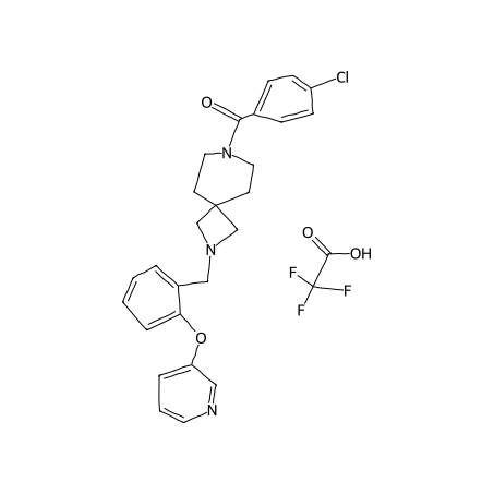 O=C(O)C(F)(F)F.O=C(c1ccc(Cl)cc1)N1CCC2(CC1)CN(Cc1ccccc1Oc1cccnc1)C2